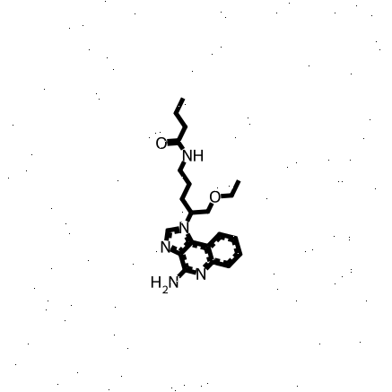 CCCC(=O)NCCCC(COCC)n1cnc2c(N)nc3ccccc3c21